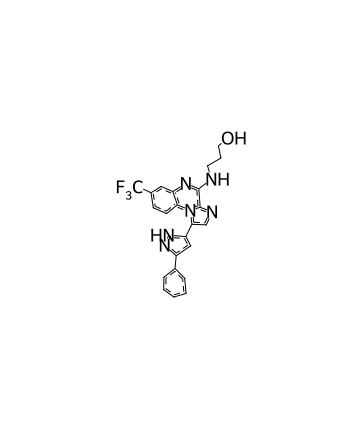 OCCCNc1nc2cc(C(F)(F)F)ccc2n2c(-c3cc(-c4ccccc4)n[nH]3)cnc12